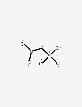 ClB(Cl)C[Si](Cl)(Cl)Cl